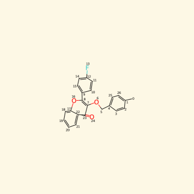 Cc1ccc(COc2c(-c3ccc(F)cc3)oc3ccccc3c2=O)cc1